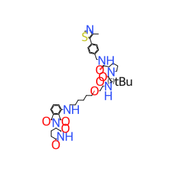 Cc1ncsc1-c1ccc(CNC(=O)C2CCCN2C(=O)[C@@H](NC(=O)COCCCCCCNc2cccc3c2C(=O)N(C2CCC(=O)NC2=O)C3=O)C(C)(C)C)cc1